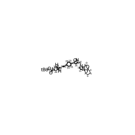 C[C@H](OC1CCCCO1)c1nccn1Cc1cc(-c2ccc(C#C[C@@H]3[C@H]4CN(C(=O)OC(C)(C)C)C[C@@H]34)cc2)on1